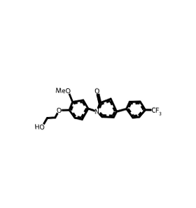 COc1cc(-n2ccc(-c3ccc(C(F)(F)F)cc3)cc2=O)ccc1OCCO